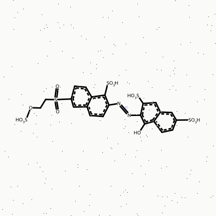 O=S(=O)(O)OCCS(=O)(=O)c1ccc2c(S(=O)(=O)O)c(/N=N/c3c(S(=O)(=O)O)cc4cc(S(=O)(=O)O)ccc4c3O)ccc2c1